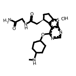 CNC1CCC(Oc2ncnc3sc4c(c23)[C@@H](CC(=O)NCC(N)=O)CC4)CC1.Cl